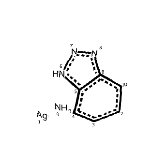 N.[Ag].c1ccc2[nH]nnc2c1